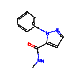 CNC(=O)c1ccnn1-c1ccccc1